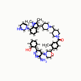 Cc1cc(C(=O)N2CCC(CN3CCC(c4c(C)n(C)c5c(N6C=CCNC6)cccc45)CC3)CC2)ccc1C1CN(c2cc(-c3ccccc3O)nnc2N)CCO1